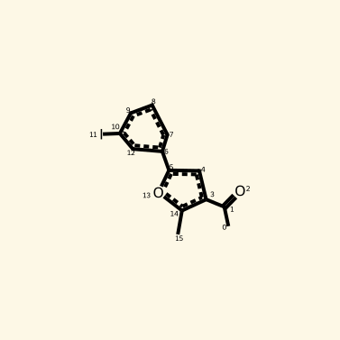 CC(=O)c1cc(-c2cccc(I)c2)oc1C